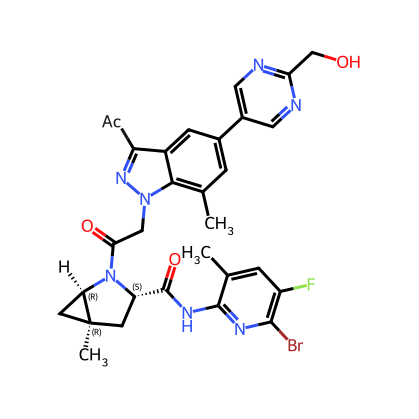 CC(=O)c1nn(CC(=O)N2[C@H](C(=O)Nc3nc(Br)c(F)cc3C)C[C@@]3(C)C[C@@H]23)c2c(C)cc(-c3cnc(CO)nc3)cc12